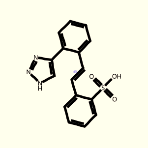 O=S(=O)(O)c1ccccc1/C=C/c1ccccc1-c1c[nH]nn1